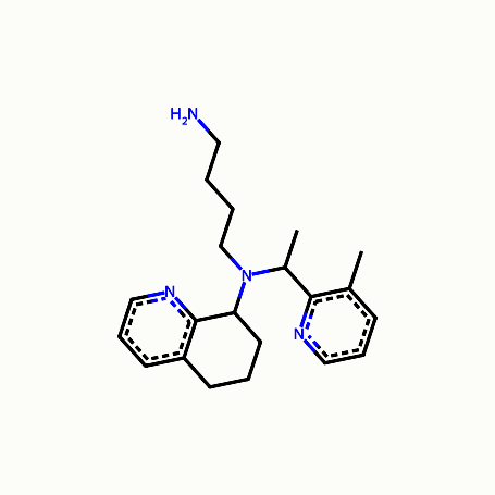 Cc1cccnc1C(C)N(CCCCN)C1CCCc2cccnc21